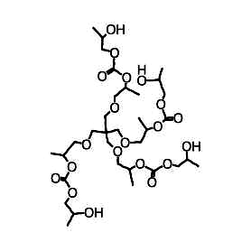 CC(O)COC(=O)OC(C)COCC(COCC(C)OC(=O)OCC(C)O)(COCC(C)OC(=O)OCC(C)O)COCC(C)OC(=O)OCC(C)O